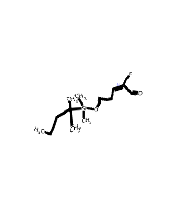 CCCC(C)(C)[Si](C)(C)OCC/C=C(/F)C=O